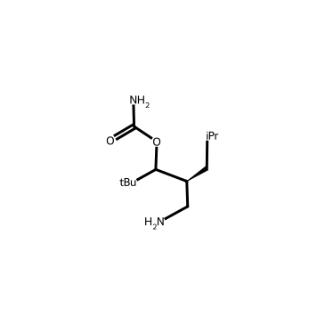 CC(C)C[C@@H](CN)C(OC(N)=O)C(C)(C)C